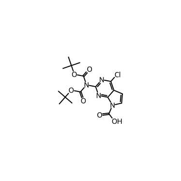 CC(C)(C)OC(=O)N(C(=O)OC(C)(C)C)c1nc(Cl)c2ccn(C(=O)O)c2n1